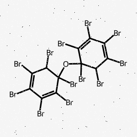 BrC1=C(Br)C(Br)C(Br)(OC2(Br)C(Br)=C(Br)C(Br)=C(Br)C2Br)C(Br)=C1Br